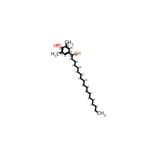 CCCCCCCCCCCCCCCCCCC(S)c1cc(C)c(O)c(C)c1